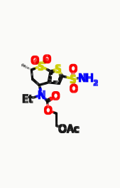 CCN(C(=O)OCCOC(C)=O)[C@H]1C[C@H](C)S(=O)(=O)c2sc(S(N)(=O)=O)cc21